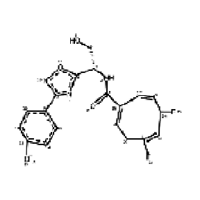 O=C(N[C@@H](CO)c1nc(-c2ccc(C(F)(F)F)cc2)no1)/C1=C/C/C(F)=C\C(F)C=C1